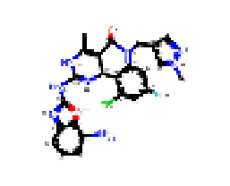 CC1=C(C(=O)NCc2cnn(C)c2)C(c2ccc(F)cc2Cl)N=C(Nc2nc3cccc(N)c3o2)N1